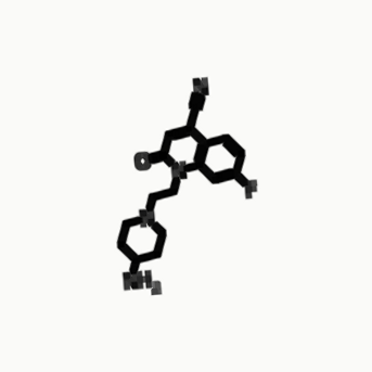 N#Cc1cc(=O)n(CCN2CCC(N)CC2)c2cc(F)ccc12